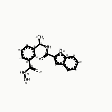 CC(NC(=O)c1cc2ccccc2[nH]1)c1cccc(C(=O)NO)c1